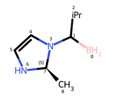 BC(C(C)C)N1C=CN[C@@H]1C